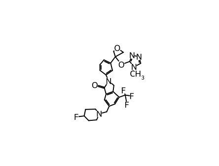 Cn1cnnc1OC1(c2cccc(N3Cc4c(cc(CN5CCC(F)CC5)cc4C(F)(F)F)C3=O)c2)COC1